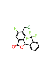 O=C1OC(c2ccccc2C(F)(F)F)c2cc(CCl)c(F)cc21